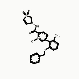 Cc1cccc(OCc2ccccc2)c1-c1ccc(C(=O)N[C@@H]2C=CS(=O)(=O)C2)[n+]([O-])c1